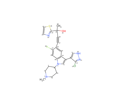 CN1CCC(n2cc(-c3c[nH]nc3Cl)c3cc(C#CC(C)(O)c4nccs4)c(F)cc32)CC1